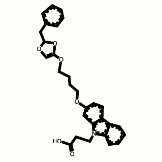 O=C(O)CCn1c2ccccc2c2ccc(OCCCCOC3=COC(Cc4ccccc4)O3)cc21